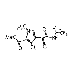 COC(=O)c1c(Cl)c(C(=O)C(=O)NC(C)C(F)(F)F)cn1C